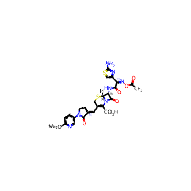 COc1ccc(N2CC/C(=C\C3=C(C(=O)O)N4C(=O)[C@@H](NC(=O)/C(=N\OC(=O)C(F)(F)F)c5csc(N)n5)[C@H]4SC3)C2=O)cn1